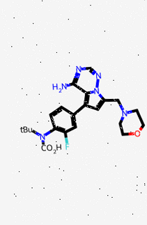 CC(C)(C)N(C(=O)O)c1ccc(-c2cc(CN3CCOCC3)n3ncnc(N)c23)cc1F